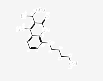 CCCCC(CC)c1c(O)c2cccc(OCCCCO)c2oc1=O